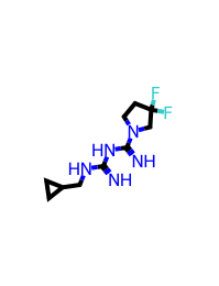 N=C(NCC1CC1)NC(=N)N1CCC(F)(F)C1